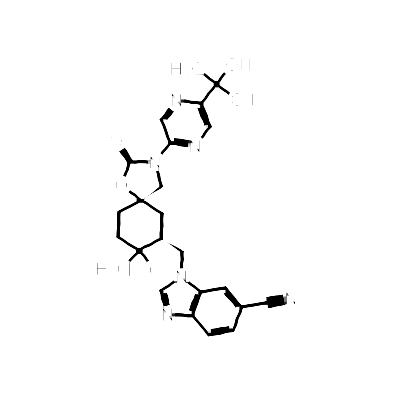 CC(C)(O)c1cnc(N2C[C@@]3(CCC(C)(C)[C@H](Cn4cnc5ccc(C#N)cc54)C3)OC2=O)cn1